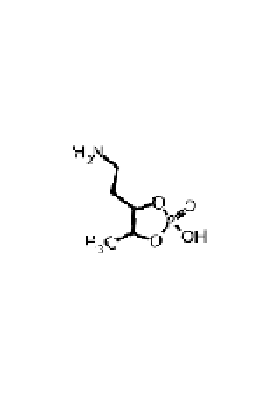 CC1OP(=O)(O)OC1CCN